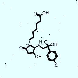 CC(O)(CS[C@H]1C(O)CC(=O)[C@@H]1CCCCCCC(=O)O)c1ccc(Cl)cc1